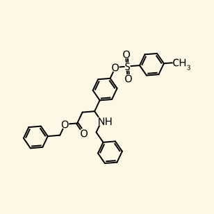 Cc1ccc(S(=O)(=O)Oc2ccc(C(CC(=O)OCc3ccccc3)NCc3ccccc3)cc2)cc1